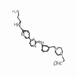 NCCCNc1ccc(-c2ccnc(Nc3cccc(CN4CCN(CC=O)CC4)c3)n2)cn1